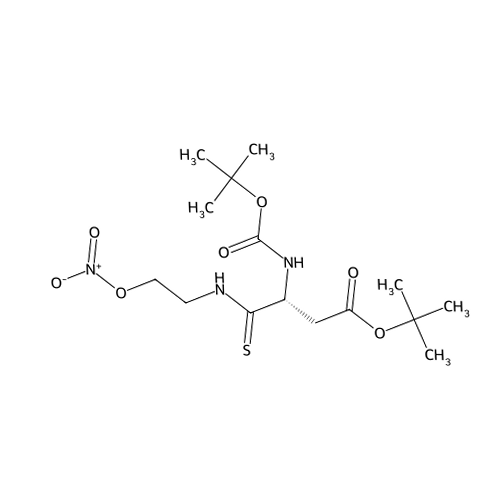 CC(C)(C)OC(=O)C[C@@H](NC(=O)OC(C)(C)C)C(=S)NCCO[N+](=O)[O-]